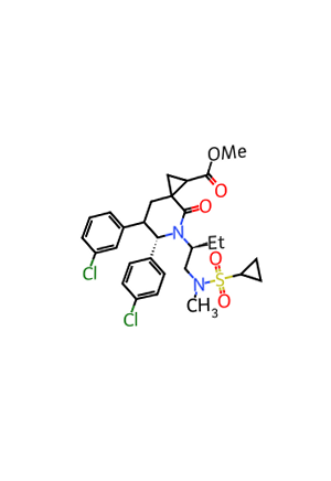 CC[C@@H](CN(C)S(=O)(=O)C1CC1)N1C(=O)C2(CC(c3cccc(Cl)c3)[C@H]1c1ccc(Cl)cc1)CC2C(=O)OC